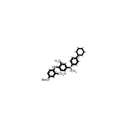 COc1ccc(Nc2ccc(N(C)c3ccc(C4CCCCC4)cc3)cc2C)c(C(=O)O)c1